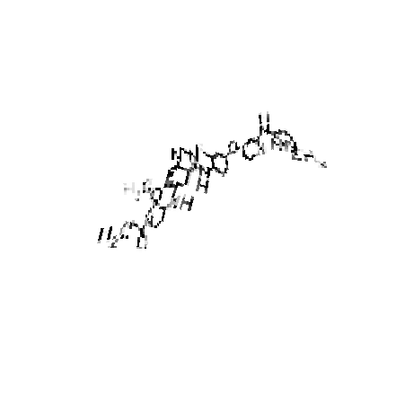 C=CC(=O)N1CCC(Nc2cc3c(Nc4ccc(Oc5ccnc(Nc6ccn(C)n6)c5)cc4F)ncnc3cc2OC)CC1